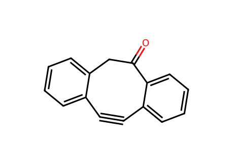 O=C1Cc2ccccc2C#Cc2ccccc21